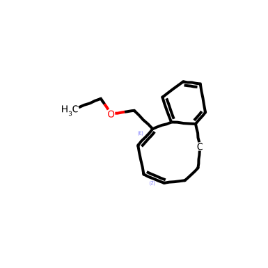 CCOC/C1=C/C=C\CCCc2ccccc21